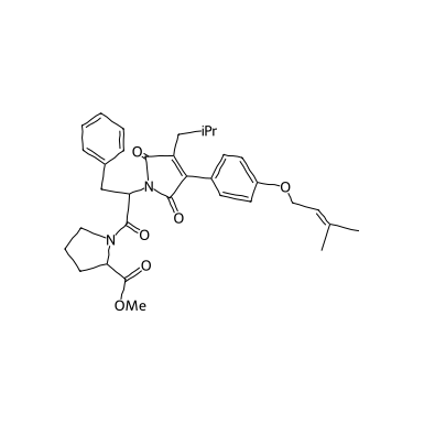 COC(=O)C1CCCN1C(=O)C(Cc1ccccc1)N1C(=O)C(CC(C)C)=C(c2ccc(OCC=C(C)C)cc2)C1=O